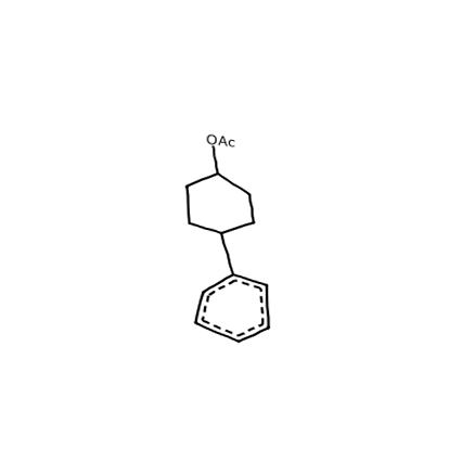 CC(=O)OC1CCC(c2ccccc2)CC1